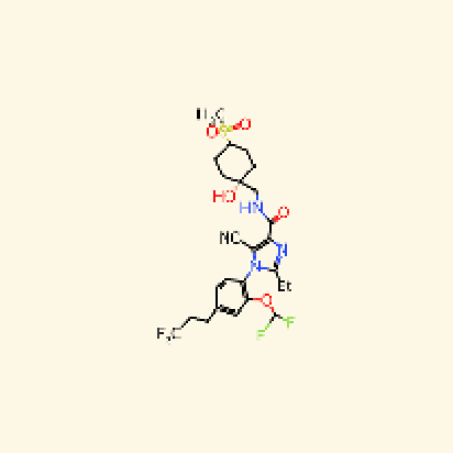 CCc1nc(C(=O)NC[C@]2(O)CC[C@@H](S(C)(=O)=O)CC2)c(C#N)n1-c1ccc(CCC(F)(F)F)cc1OC(F)F